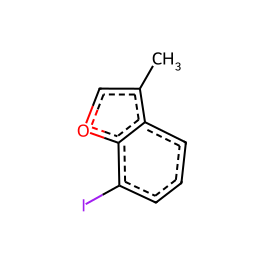 Cc1coc2c(I)cccc12